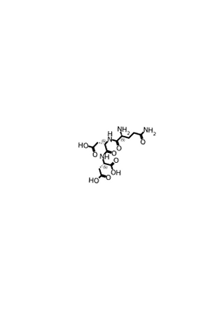 NC(=O)CC[C@H](N)C(=O)N[C@@H](CC(=O)O)C(=O)N[C@@H](CC(=O)O)C(=O)O